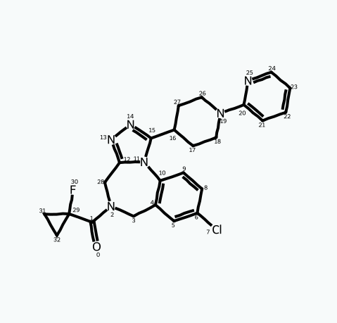 O=C(N1Cc2cc(Cl)ccc2-n2c(nnc2C2CCN(c3ccccn3)CC2)C1)C1(F)CC1